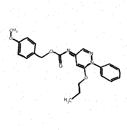 CCCOc1c/c(=N\C(=O)OCc2ccc(OC)cc2)cnn1-c1ccccc1